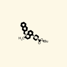 CC1CCc2c(N3CCN(C(=O)OC(C)(C)C)CC3)cccc2N1Cc1ccc2ccccc2c1